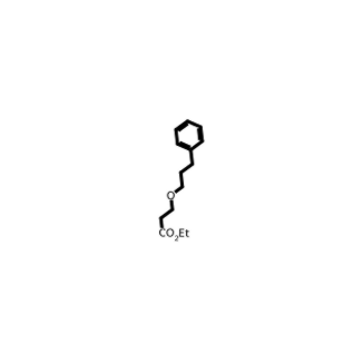 CCOC(=O)CCOCCCc1ccccc1